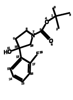 CC(C)(C)OC(=O)N1CCC(O)(c2ccccc2F)C1